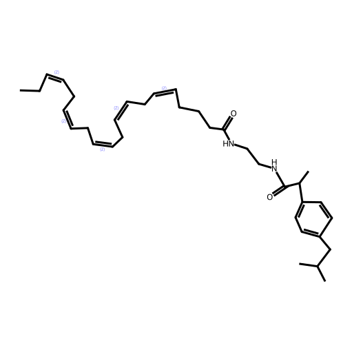 CC/C=C\C/C=C\C/C=C\C/C=C\C/C=C\CCCC(=O)NCCNC(=O)C(C)c1ccc(CC(C)C)cc1